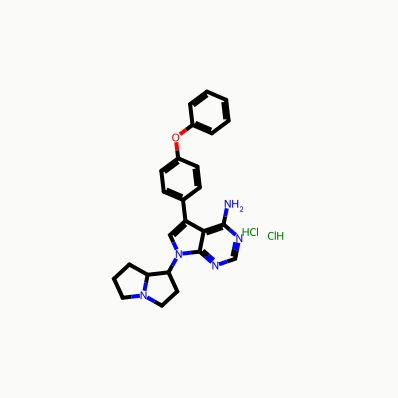 Cl.Cl.Nc1ncnc2c1c(-c1ccc(Oc3ccccc3)cc1)cn2C1CCN2CCCC12